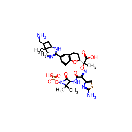 CC(O/N=C(\C(=O)N[C@@H]1C(=O)N(OS(=O)(=O)O)C1(C)C)c1csc(N)n1)(C(=O)O)[C@H]1CCc2cc(C(=N)N[C@@H]3C[C@H](CN)C3(C)C)ccc2O1